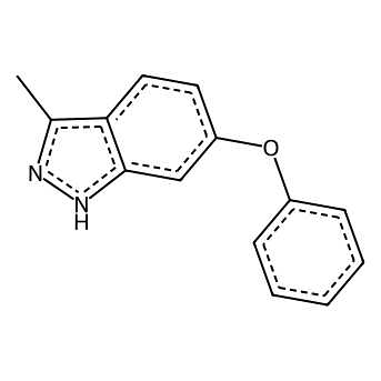 Cc1n[nH]c2cc(Oc3ccccc3)ccc12